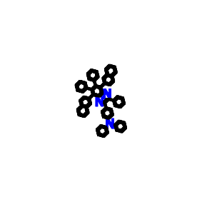 c1ccc(-c2nc3c(-c4ccc5ccccc5c4)c(-c4ccccc4)c(-c4ccccc4)c(-c4ccc5ccccc5c4)c3nc2-c2ccc(N(c3ccccc3)c3ccccc3)cc2)cc1